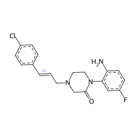 Nc1ccc(F)cc1N1CCN(C/C=C/c2ccc(Cl)cc2)CC1=O